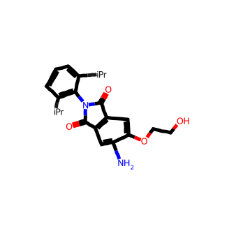 CC(C)c1cccc(C(C)C)c1N1C(=O)c2cc(N)c(OCCO)cc2C1=O